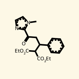 CCOC(=O)C(C(=O)OCC)C(CC(=O)c1nccn1C)c1ccccc1